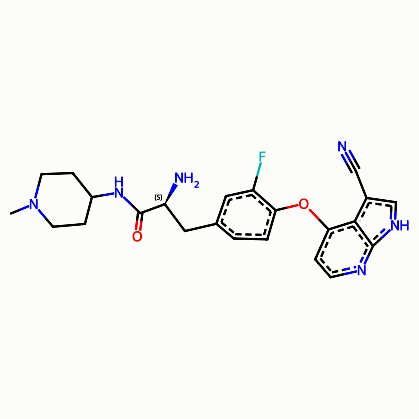 CN1CCC(NC(=O)[C@@H](N)Cc2ccc(Oc3ccnc4[nH]cc(C#N)c34)c(F)c2)CC1